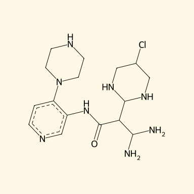 NC(N)C(C(=O)Nc1cnccc1N1CCNCC1)C1NCC(Cl)CN1